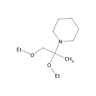 CCOCC(C)(OCC)N1CCCCC1